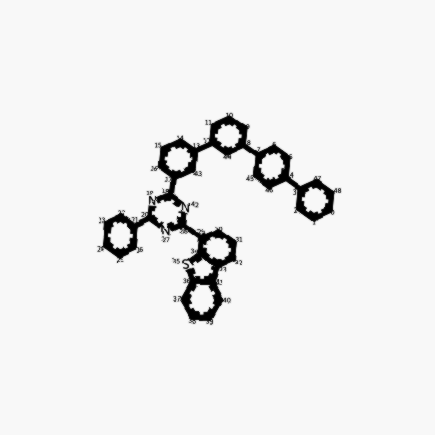 c1ccc(-c2ccc(-c3cccc(-c4cccc(-c5nc(-c6ccccc6)nc(-c6cccc7c6sc6ccccc67)n5)c4)c3)cc2)cc1